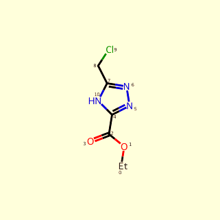 CCOC(=O)c1nnc(CCl)[nH]1